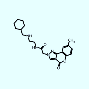 Cc1ccc2oc(=O)c3cn(CC(=O)NCCNCC4CCCCC4)nc3c2c1